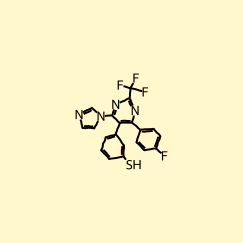 Fc1ccc(-c2nc(C(F)(F)F)nc(-n3ccnc3)c2-c2cccc(S)c2)cc1